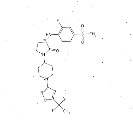 CC(F)(F)c1nc(N2CCC(N3CC[C@H](Nc4ccc(S(C)(=O)=O)cc4F)C3=O)CC2)no1